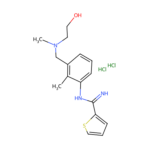 Cc1c(CN(C)CCO)cccc1NC(=N)c1cccs1.Cl.Cl